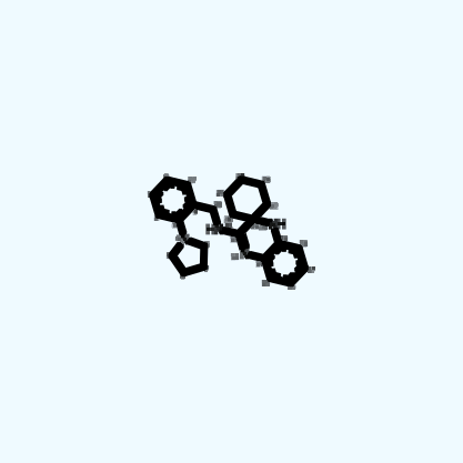 c1ccc(N2CCCC2)c(CNC2=Nc3ccccc3NC23CCCCC3)c1